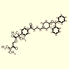 CN(C)C(=O)COC(=O)C(C)(C)c1ccc(C(=O)CCCN2CCC(OC(c3ccccc3)c3ccccc3)CC2)cc1